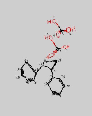 O=C(O)O.O=C(O)O.c1ccc(C2CCC2c2ccccc2)cc1